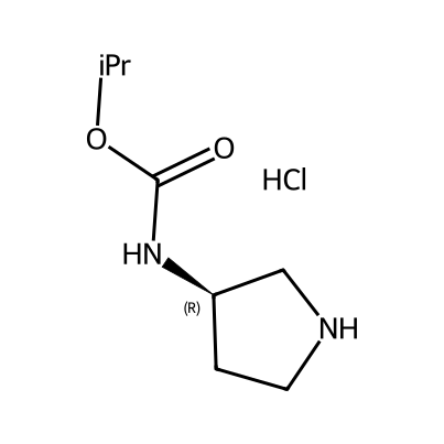 CC(C)OC(=O)N[C@@H]1CCNC1.Cl